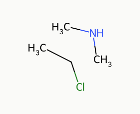 CCCl.CNC